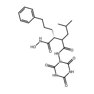 CC(C)CC(C(=O)Nn1c(=O)[nH]c(=O)[nH]c1=O)[C@@H](CCCc1ccccc1)C(=O)NO